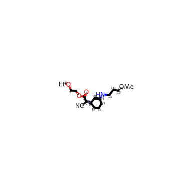 CCOCCOC(=O)/C(C#N)=C1\C=C(NCCCOC)CCC1